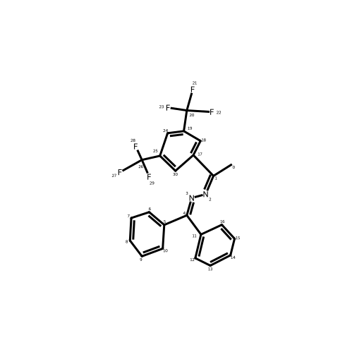 CC(=NN=C(c1ccccc1)c1ccccc1)c1cc(C(F)(F)F)cc(C(F)(F)F)c1